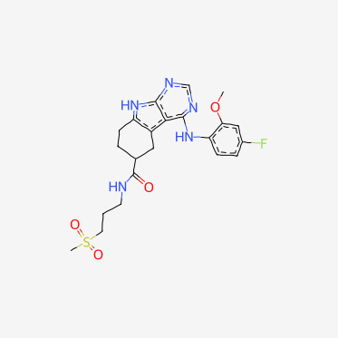 COc1cc(F)ccc1Nc1ncnc2[nH]c3c(c12)CC(C(=O)NCCCS(C)(=O)=O)CC3